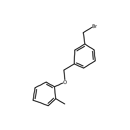 Cc1ccccc1OCc1cccc(CBr)c1